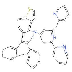 c1ccc(-c2cc(-n3c4c5ccsc5ccc4c4c5ccccc5c5ccccc5c43)cc(-c3ccccn3)n2)nc1